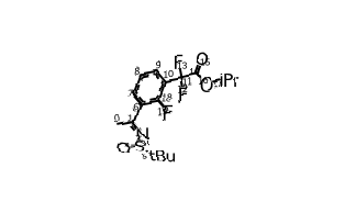 CC(=N[S+]([O-])C(C)(C)C)c1cccc(C(F)(F)C(=O)OC(C)C)c1F